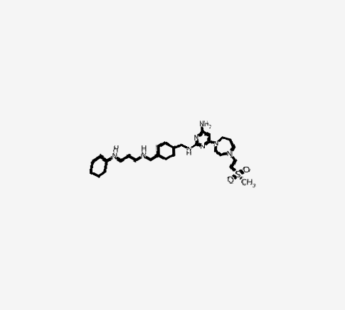 CS(=O)(=O)CCN1CCCN(c2cc(N)nc(NCC3CCC(CNCCCNC4CCCCC4)CC3)n2)CC1